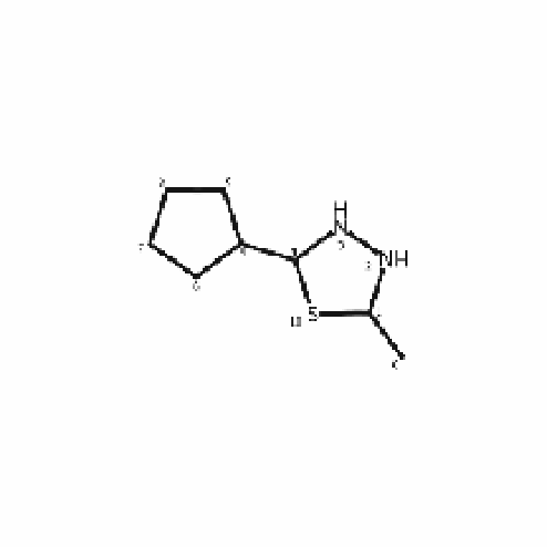 CC1NNC(C2CCCC2)S1